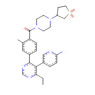 CCc1ncnc(-c2ccc(C(=O)N3CCN(C4CCS(=O)(=O)C4)CC3)c(C)c2)c1-c1ccc(N)nc1